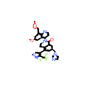 COCc1cc(OC)cc2c(N3CCc4c(cc(Cn5ccnc5)cc4-c4cn(C)nc4C(F)(F)F)C3=O)ccnc12